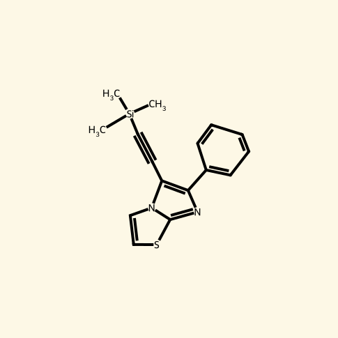 C[Si](C)(C)C#Cc1c(-c2ccccc2)nc2sccn12